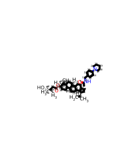 C=C(C)[C@@H]1CC[C@]2(CC(=O)NCc3ccc(N4CCCCC4)cc3)CC[C@]3(C)[C@H](CC[C@@H]4[C@@]5(C)CC[C@H](OC(=O)CC(C)(C)C(=O)O)C(C)(C)[C@@H]5CC[C@]43C)[C@@H]12